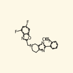 Cn1c(-c2ccccc2Cl)nc2c1CN(Cc1nc3c(F)cc(F)cc3o1)CC2